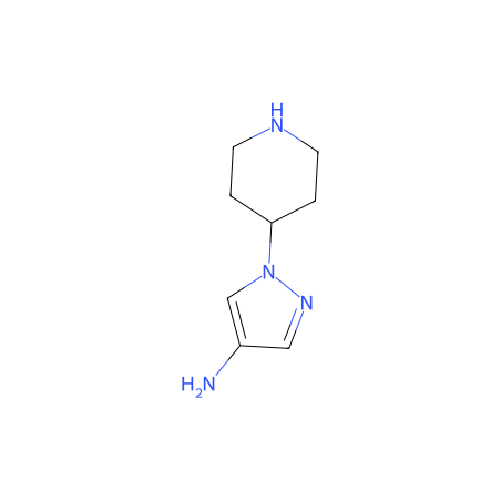 Nc1cnn(C2CCNCC2)c1